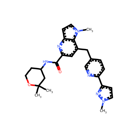 Cn1ccc(-c2ccc(Cc3cc(C(=O)NC4CCOC(C)(C)C4)nc4ccn(C)c34)cn2)n1